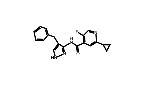 O=C(Nc1n[nH]cc1Cc1ccccc1)c1cc(C2CC2)ncc1F